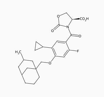 CC1CC2CCCC(COc3cc(F)c(C(=O)N4C(=O)OC[C@H]4C(=O)O)cc3C3CC3)(C1)C2